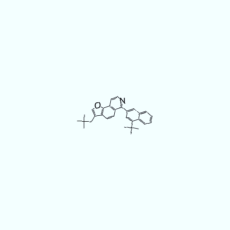 CC(C)(C)Cc1coc2c1ccc1c(-c3cc(C(C)(C)C)c4ccccc4c3)nccc12